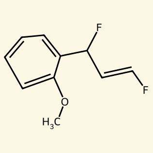 COc1ccccc1C(F)C=CF